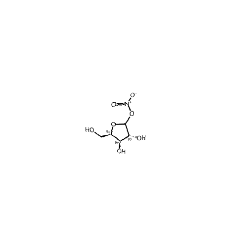 O=[N+]([O-])OC1O[C@H](CO)[C@H](O)[C@H]1O